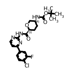 CC(C)(C)OC(=O)N[C@@H]1CC[C@@H](C(=O)Nc2nccc(-c3ccc(Cl)c(F)c3)n2)OC1